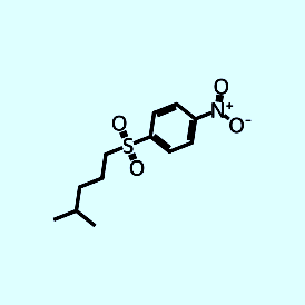 CC(C)CCCS(=O)(=O)c1ccc([N+](=O)[O-])cc1